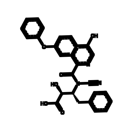 N#CN(C(=O)c1ncc(O)c2ccc(Oc3ccccc3)cc12)[C@H](Cc1ccccc1)[C@H](O)C(=O)O